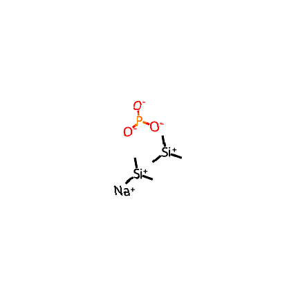 C[Si+](C)C.C[Si+](C)C.[Na+].[O-]P([O-])[O-]